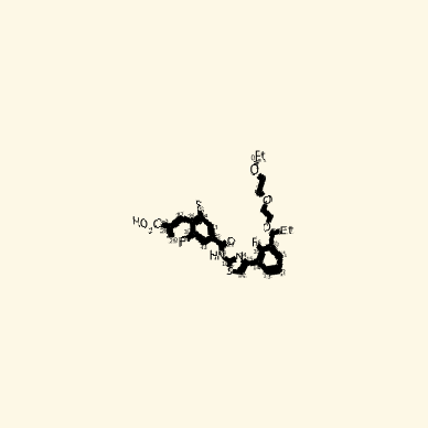 CCOCCOCCOC(CC)c1cccc(-c2csc(NC(=O)c3cc(F)c(/C=C(\C)C(=O)O)c(F)c3)n2)c1F